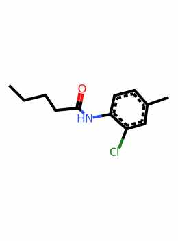 CCCCC(=O)Nc1ccc(C)cc1Cl